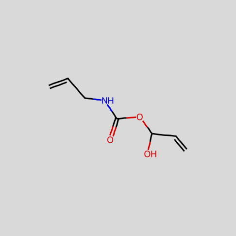 C=CCNC(=O)OC(O)C=C